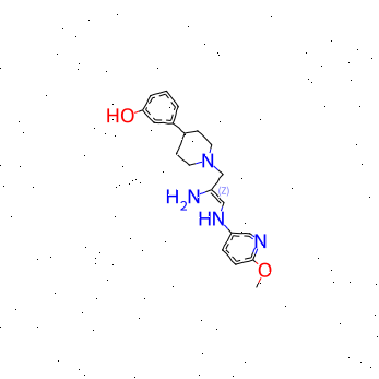 COc1ccc(N/C=C(\N)CN2CCC(c3cccc(O)c3)CC2)cn1